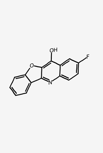 Oc1c2cc(F)ccc2nc2c1oc1ccccc12